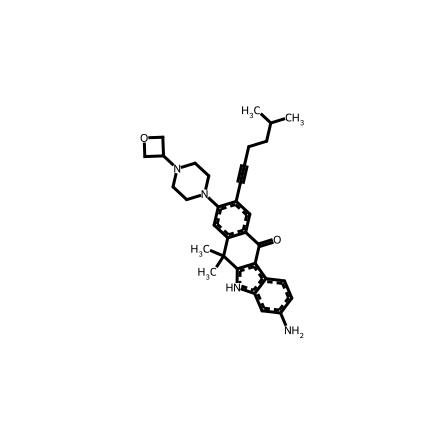 CC(C)CCC#Cc1cc2c(cc1N1CCN(C3COC3)CC1)C(C)(C)c1[nH]c3cc(N)ccc3c1C2=O